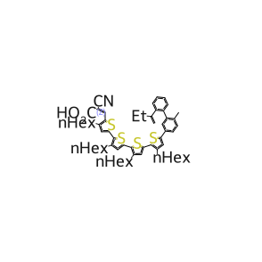 C=C(CC)c1ccccc1-c1cc(-c2cc(CCCCCC)c(-c3cc(CCCCCC)c(-c4cc(CCCCCC)c(-c5cc(CCCCCC)c(/C=C(/C#N)C(=O)O)s5)s4)s3)s2)ccc1C